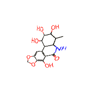 CC1C(O)C(O)C(O)C2c3cc4c(c(O)c3C(=O)NC12)OCO4